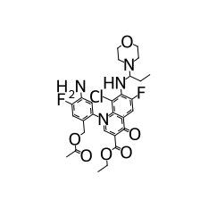 CCOC(=O)c1cn(-c2cc(N)c(F)cc2COC(C)=O)c2c(Cl)c(NC(CC)N3CCOCC3)c(F)cc2c1=O